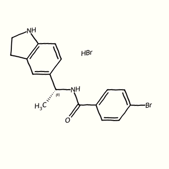 Br.C[C@@H](NC(=O)c1ccc(Br)cc1)c1ccc2c(c1)CCN2